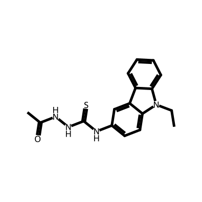 CCn1c2ccccc2c2cc(NC(=S)NNC(C)=O)ccc21